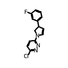 Fc1cccc(C2C=CN(c3ccc(Cl)nn3)C2)c1